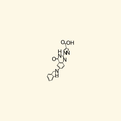 Cc1ccccc1CNc1ccc2nc(-n3cc(C(=O)O)cn3)[nH]c(=O)c2c1